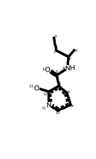 CCC(C)NC(=O)c1cccnc1[O]